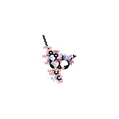 CCCCCCCCNC(=O)Oc1cc(O)c2c(c1)[C@@H](C(=O)O)NC(=O)[C@H]1NC(=O)[C@H](NC(=O)[C@@H]3NC(=O)[C@H](CC(N)=O)NC(=O)[C@H](NC(=O)[C@@H](CC(C)C)NC)[C@H](O)c4ccc(c(C)c4)Oc4cc3cc(c4O[C@@H]3O[C@H](CO)[C@@H](O)[C@H](O)[C@H]3O[C@H]3C[C@](C)(N)[C@H](O)[C@H](C)O3)Oc3ccc(cc3Cl)[C@H]1O)c1ccc(O)c-2c1